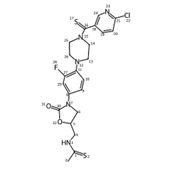 CC(=S)NCC1CN(c2ccc(N3CCN(C(=S)c4ccc(Cl)nc4)CC3)c(F)c2)C(=O)O1